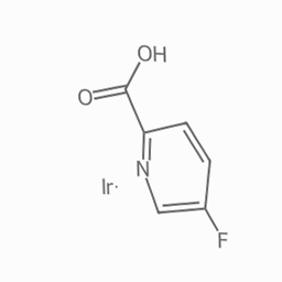 O=C(O)c1ccc(F)cn1.[Ir]